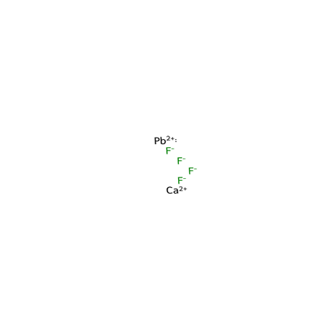 [Ca+2].[F-].[F-].[F-].[F-].[Pb+2]